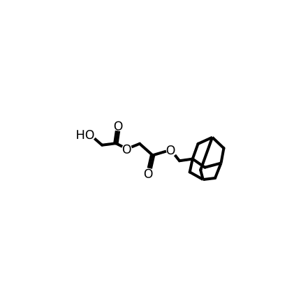 O=C(CO)OCC(=O)OCC12CC3CC(CC(C3)C1)C2